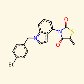 C=C1SC(=O)N(c2cccc3c2ccn3Cc2ccc(CC)cc2)C1=O